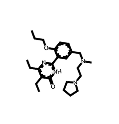 CCCOc1ccc(CN(C)CCN2CCCC2)cc1-c1nc(CC)c(CC)c(=O)[nH]1